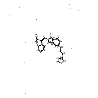 O=C1Nc2ccccc2/C1=C\c1cc2cc(CCCN3CCCC3)ccc2[nH]1